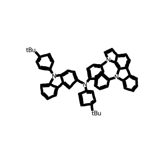 CC(C)(C)c1ccc(N(c2ccc(-n3ccc4ccc5c6ccccc6n(-c6ccccc6)c5c43)cc2)c2ccc3c(c2)c2ccccc2n3-c2ccc(C(C)(C)C)cc2)cc1